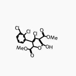 COC(=O)C1=C(O)OC(C(=O)OC)C(c2cccc(Cl)c2Cl)=C1Cl